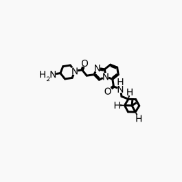 CC1(C)[C@@H]2CC[C@@H](CNC(=O)c3cccc4nc(CC(=O)N5CCC(N)CC5)cn34)[C@H]1C2